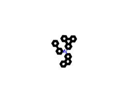 c1ccc(-c2cccc(N(c3ccc4ccc5ccccc5c4c3)c3ccc4c5ccccc5c5ccccc5c4c3)c2)cc1